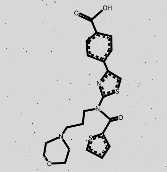 O=C(O)c1ccc(-c2csc(N(CCCN3CCOCC3)C(=O)c3cccs3)n2)cc1